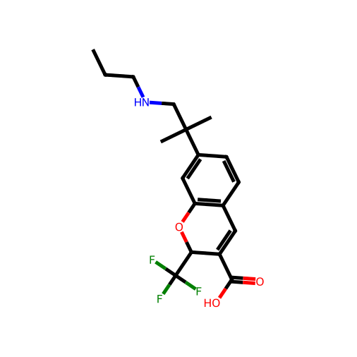 CCCNCC(C)(C)c1ccc2c(c1)OC(C(F)(F)F)C(C(=O)O)=C2